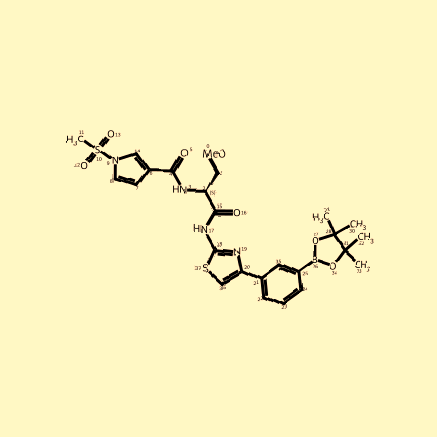 COC[C@H](NC(=O)c1ccn(S(C)(=O)=O)c1)C(=O)Nc1nc(-c2cccc(B3OC(C)(C)C(C)(C)O3)c2)cs1